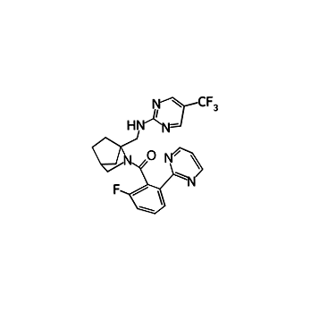 O=C(c1c(F)cccc1-c1ncccn1)N1CC2CCC1(CNc1ncc(C(F)(F)F)cn1)C2